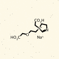 O=C(O)COCC[N+]1(CC(=O)O)C=NCC1.[Na+]